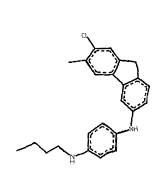 CCCCNc1ccc(Nc2ccc3c(c2)-c2cc(C)c(Cl)cc2C3)cc1